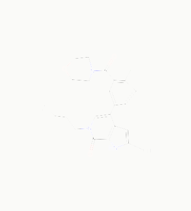 C=CCCn1cc(-c2ccc(F)c(C(=O)N3CCOCC3)c2)c2cc(C)[nH]c2c1=O